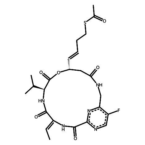 C/C=C1\NC(=O)c2ncc(F)c(n2)CNC(=O)C[C@@H](/C=C/CCSC(C)=O)OC(=O)[C@H](C(C)C)NC1=O